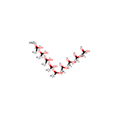 CC(=O)O.CC(=O)O.CC(=O)O.CC(=O)O.CC(=O)O.CC(=O)O.CC(=O)O.CC(=O)O.CC(=O)O.[NaH]